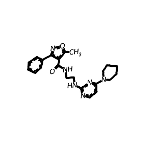 Cc1onc(-c2ccccc2)c1C(=O)NCCNc1nccc(N2CCCCC2)n1